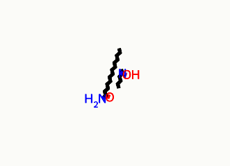 CCCCCCCCCCCCCC(N)=O.CCCCN(C)O